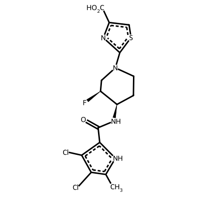 Cc1[nH]c(C(=O)N[C@@H]2CCN(c3nc(C(=O)O)cs3)C[C@@H]2F)c(Cl)c1Cl